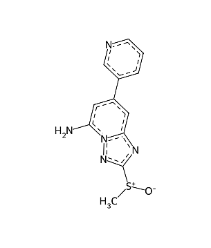 C[S+]([O-])c1nc2cc(-c3cccnc3)cc(N)n2n1